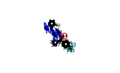 C[C@@H]1CCc2ncnc(N3CCN(C(=O)[C@@H](c4ccc(C(F)(F)F)cc4)[C@@H]4CCCN4)CC3)c21